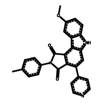 COc1ccc2[nH]c3cc(-c4ccncc4)c4c(c3c2c1)C(=O)N(c1ccc(C)cc1)C4=O